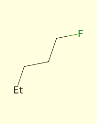 [CH2]CCCCF